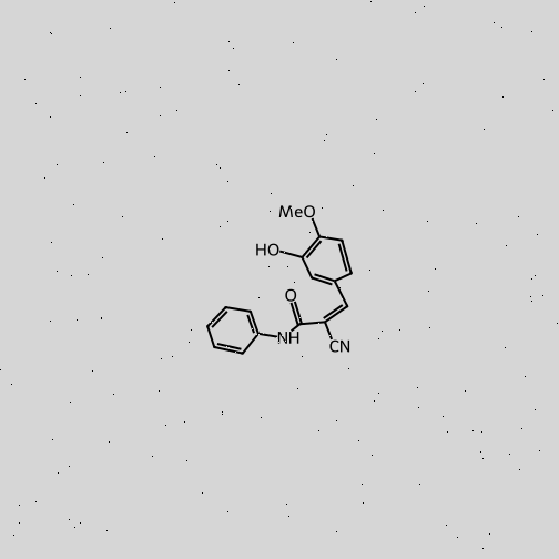 COc1ccc(C=C(C#N)C(=O)Nc2ccccc2)cc1O